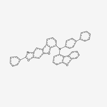 c1ccc(-c2ccc(N(c3cccc4c3oc3cc5oc(-c6ccccc6)nc5cc34)c3cccc4oc5ccccc5c34)cc2)cc1